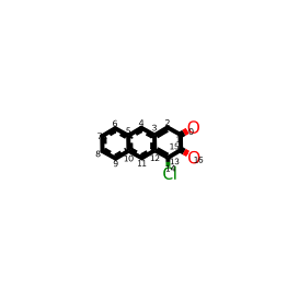 O=C1C=c2cc3ccccc3cc2=C(Cl)C1=O